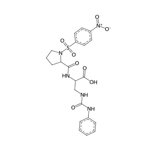 O=C(NCC(NC(=O)C1CCCN1S(=O)(=O)c1ccc([N+](=O)[O-])cc1)C(=O)O)Nc1ccccc1